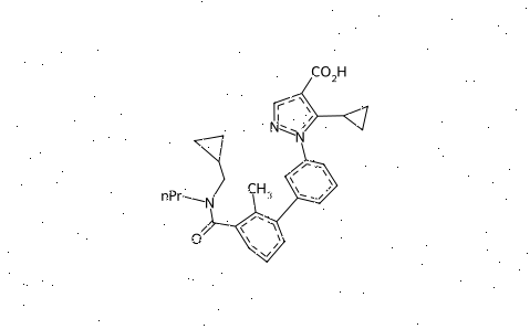 CCCN(CC1CC1)C(=O)c1cccc(-c2cccc(-n3ncc(C(=O)O)c3C3CC3)c2)c1C